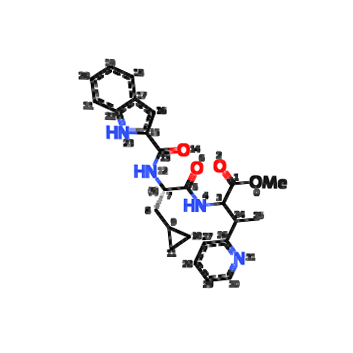 COC(=O)C(NC(=O)[C@H](CC1CC1)NC(=O)c1cc2ccccc2[nH]1)C(C)c1ccccn1